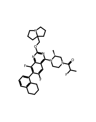 CC(F)C(=O)N1CCN(c2nc(OCC34CCCN3CCC4)nc3c(F)c(-c4cccc5c4CCCC5)c(F)cc23)[C@@H](C)C1